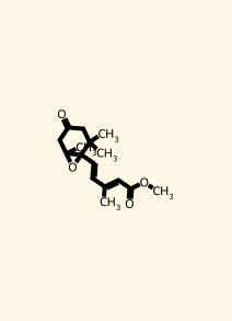 COC(=O)C=C(C)C=CC12OC1(C)CC(=O)CC2(C)C